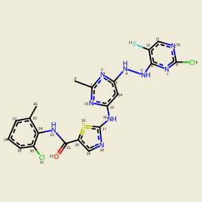 Cc1nc(NNc2nc(Cl)ncc2F)cc(Nc2ncc(C(=O)Nc3c(C)cccc3Cl)s2)n1